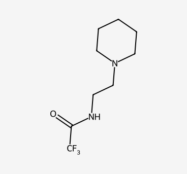 O=C(NCCN1CCCCC1)C(F)(F)F